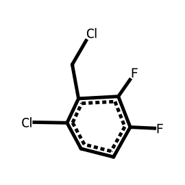 Fc1ccc(Cl)c(CCl)c1F